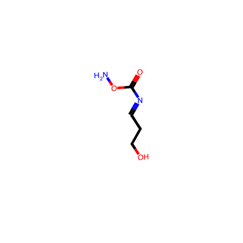 NOC(=O)N=CCCO